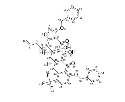 C=CCN[C@@H]1c2onc(OCc3ccccc3)c2C(=O)[C@@]2(O)C(O)=C3C(=O)c4c(OCc5ccccc5)ccc(C(F)(F)F)c4C[C@H]3C[C@@H]12